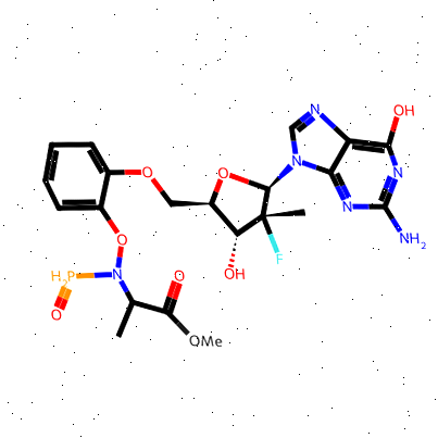 COC(=O)C(C)N(Oc1ccccc1OC[C@H]1O[C@@H](n2cnc3c(O)nc(N)nc32)[C@](C)(F)[C@@H]1O)[PH2]=O